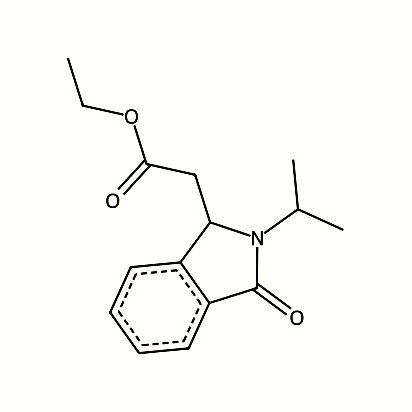 CCOC(=O)CC1c2ccccc2C(=O)N1C(C)C